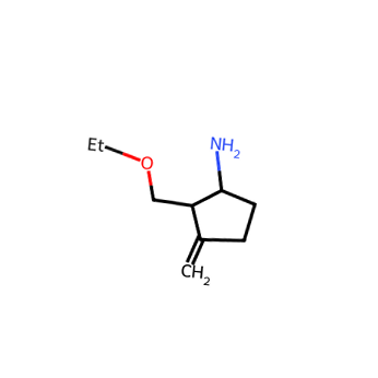 C=C1CCC(N)C1COCC